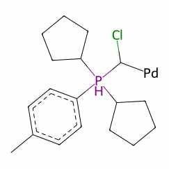 Cc1ccc([PH]([CH](Cl)[Pd])(C2CCCC2)C2CCCC2)cc1